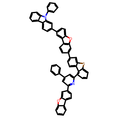 c1ccc(-c2cc(-c3ccc4c(c3)oc3ccccc34)nc(-c3cccc4sc5cc(-c6ccc7c(c6)oc6ccc(-c8ccc9c%10ccccc%10n(-c%10ccccc%10)c9c8)cc67)ccc5c34)c2)cc1